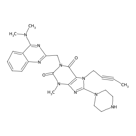 CC#CCn1c(N2CCNCC2)nc2c1c(=O)n(Cc1nc(N(C)C)c3ccccc3n1)c(=O)n2C